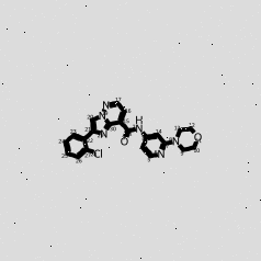 O=C(Nc1ccnc(N2CCOCC2)c1)c1ccnn2cc(-c3ccccc3Cl)nc12